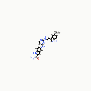 COc1ccc2[nH]cc(CCNc3nccc(Nc4ccc5[nH]c(C(N)=O)cc5c4)n3)c2c1